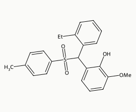 CCc1ccccc1C(c1cccc(OC)c1O)S(=O)(=O)c1ccc(C)cc1